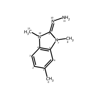 Cc1ccc2c(c1)n(C)c(=NN)n2C